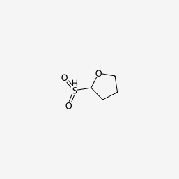 O=[SH](=O)C1CCCO1